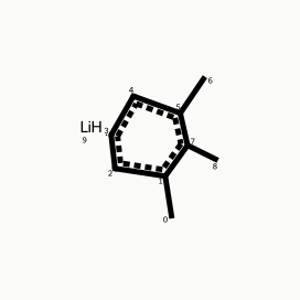 Cc1c[c]cc(C)c1C.[LiH]